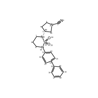 N#CN1CC[C@@H](N2CCCN(c3ccc(-c4ccccc4)cc3)S2(=O)=O)C1